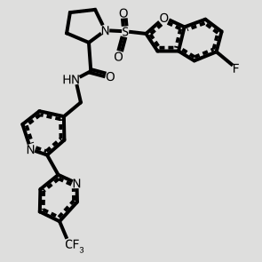 O=C(NCc1ccnc(-c2ccc(C(F)(F)F)cn2)c1)C1CCCN1S(=O)(=O)c1cc2cc(F)ccc2o1